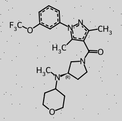 Cc1nn(-c2cccc(OC(F)(F)F)c2)c(C)c1C(=O)N1CC[C@@H](N(C)C2CCOCC2)C1